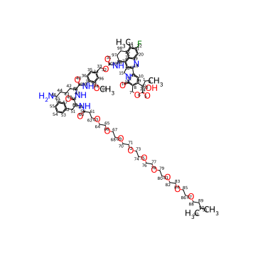 CC[C@@]1(O)C(=O)OCc2c1cc1n(c2=O)Cc2c-1nc1cc(F)c(C)c3c1c2[C@@H](NC(=O)OCc1ccc(NC(=O)[C@H](CCCCN)NC(=O)[C@H](Cc2ccccc2)NC(=O)CCOCCOCCOCCOCCOCCOCCOCCOCCOCCC(C)C)c(OC)c1)CC3